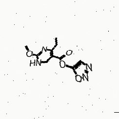 CCC1=C(C(=O)Oc2cnno2)CNC(OC)=N1